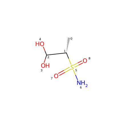 C[C@@H](C(O)O)S(N)(=O)=O